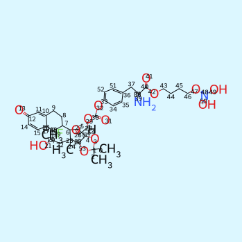 CC1(C)O[C@@H]2CC3C4CCC5=CC(=O)C=C[C@]5(C)[C@@]4(F)[C@@H](O)CC3(C)[C@]2(C(=O)COC(=O)Oc2ccc(C[C@H](N)C(=O)OCCCCON(O)O)cc2)O1